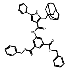 O=C(OCc1ccccc1)c1cc(NC(=O)c2cc(-c3ccccc3)[nH]c2CC23CC4CC(CC(C4)C2)C3)cc(C(=O)OCc2ccccc2)c1